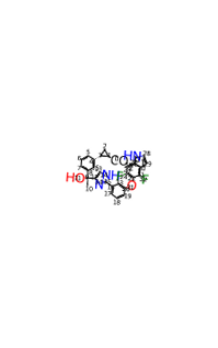 CCOC(=O)[C@@H]1C[C@H]1c1cccc([C@@](C)(O)c2c[nH]c(-c3cccc(Oc4c(F)cc5[nH]ccc5c4F)c3)n2)c1